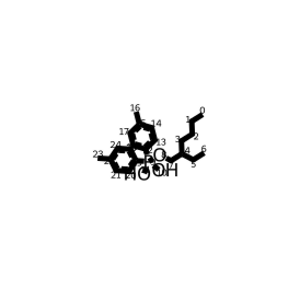 CCCCC(CC)COP(O)(O)(c1ccc(C)cc1)c1ccc(C)cc1